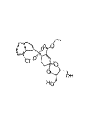 CCOC(=O)C1=CC2(CCC1S(=O)(=O)C1CCc3cccc(Cl)c31)O[C@H](CO)[C@@H](CO)O2